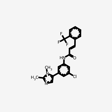 Cc1ncc(-c2cc(Cl)cc(NC(=O)C=Cc3ccccc3C(F)(F)F)c2)n1C